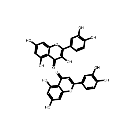 O=c1c(O)c(-c2ccc(O)c(O)c2)oc2cc(O)cc(O)c12.O=c1cc(-c2ccc(O)c(O)c2)oc2cc(O)cc(O)c12